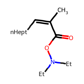 CCCCCCCC=C(C)C(=O)ON(CC)CC